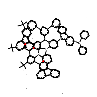 CC(C)(C)c1cc(-c2ccccc2)c(N2c3cc(-n4c5ccccc5c5ccccc54)ccc3B3c4ccc(-n5c6ccccc6c6cc(N(c7ccccc7)c7ccccc7)ccc65)cc4N(c4cc(-c5ccccc5)cc(-c5ccccc5)c4)c4cc(-n5c6ccc(C(C)(C)C)cc6c6cc(C(C)(C)C)ccc65)cc2c43)c(-c2ccccc2)c1